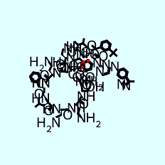 Cc1ccc(N(C(=O)Oc2c(COC(=O)C(C)C(C)C(=O)N[C@H](C(=O)N[C@H](CCN)C(=O)N[C@H]3CCNC(=O)[C@@H]([C@@H](C)O)NC(=O)[C@@H](CCN)NC(=O)[C@@H](CCN)NC(=O)[C@@H](CC(C)C)NC(=O)[C@@H](Cc4ccccc4)NC(=O)[C@@H](CCN)NC3=O)[C@@H](C)O)cccc2C(C)(C)C)c2nccc(N(C)c3ccc4c(C)n(C)nc4c3)n2)cc1S(N)(=O)=O